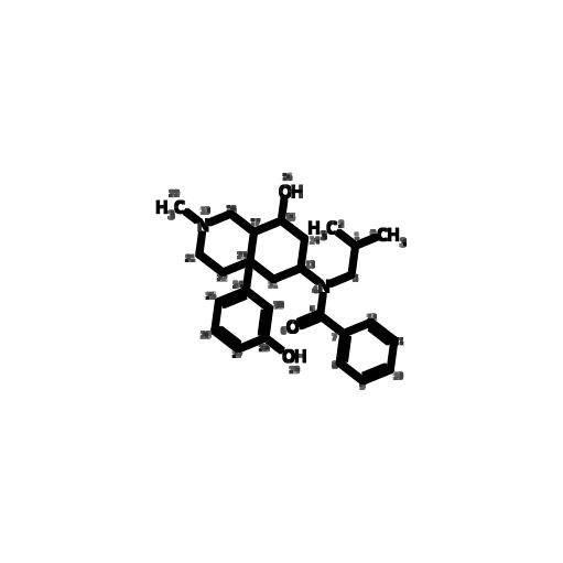 CC(C)CN(C(=O)c1ccccc1)C1CC(O)C2CN(C)CCC2(c2cccc(O)c2)C1